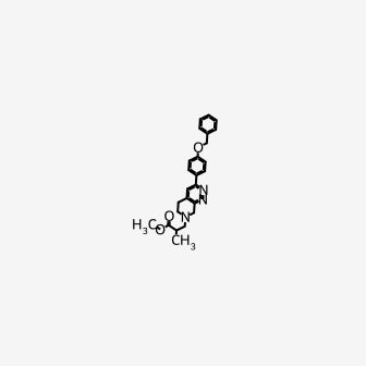 COC(=O)C(C)CN1CCc2cc(-c3ccc(OCc4ccccc4)cc3)nnc2C1